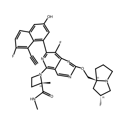 C#Cc1c(F)ccc2cc(O)cc(-c3nc(N4CC[C@@]4(C)C(=O)NC)c4cnc(OC[C@@]56CCCN5C[C@H](F)C6)nc4c3F)c12